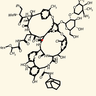 CCCCCCOC(C)C(=O)NC(=O)C[C@@H]1NC(=O)[C@H](NC(=O)[C@@H](CC(C)C)NC)[C@H](O)c2ccc(c(C)c2)Oc2cc3cc(c2O[C@@H]2O[C@H](CO)[C@@H](O)[C@H](O)[C@H]2O[C@H]2C[C@](C)(N)[C@H](O)[C@H](C)O2)Oc2ccc(cc2Cl)[C@@H](O)[C@@H]2NC(=O)[C@H](NC(=O)[C@@H]3NC1=O)c1ccc(O)c(c1)-c1c(O)cc(O)cc1[C@@H](C(=O)NC1C3CC4CC(C3)CC1C4)NC2=O